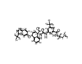 CN(C)CC(C)(C)NC(=O)c1nc(NC(=O)N[C@@]2(C=O)C=C[C@@H](Oc3ccc4nnc(C(C)(C)C)n4c3)c3ccccc32)cc(C(C)(C)C)n1